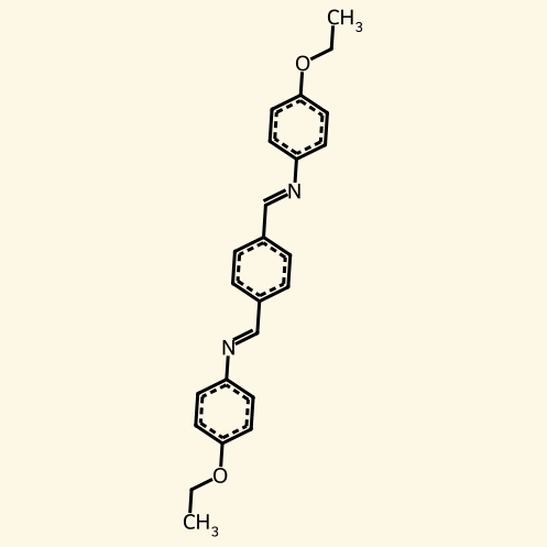 CCOc1ccc(/N=C/c2ccc(/C=N/c3ccc(OCC)cc3)cc2)cc1